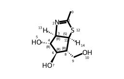 CC1=N[C@@H]2[C@@H](O)[C@H](O)[C@@H](CO)[C@@H]2S1